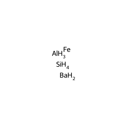 [AlH3].[BaH2].[Fe].[SiH4]